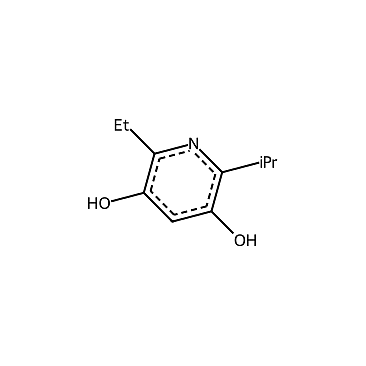 CCc1nc(C(C)C)c(O)cc1O